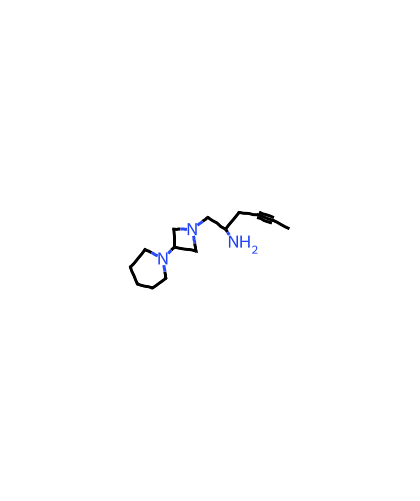 CC#CCC(N)CN1CC(N2CCCCC2)C1